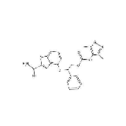 Cc1nn(C)c(C)c1NC(=O)OCC(Oc1cccc2sc(C(=N)N)cc12)c1ccccc1